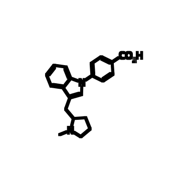 CN1CCCC1Cc1cn(-c2ccc(C(=O)O)cc2)c2ccccc12